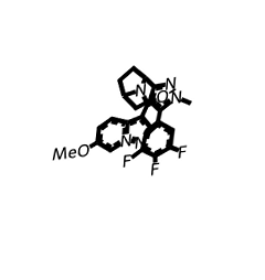 COc1ccc2c(C(=O)N3C4CCC3c3nn(C)c(-c5cc(F)c(F)c(F)c5)c3C4)cnn2c1